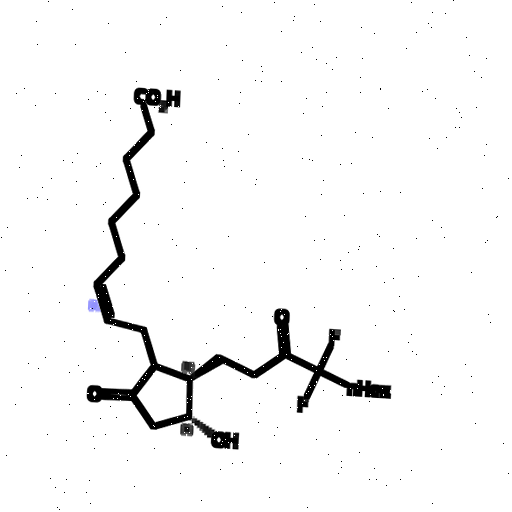 CCCCCCC(F)(F)C(=O)CC[C@@H]1C(C/C=C\CCCCCC(=O)O)C(=O)C[C@H]1O